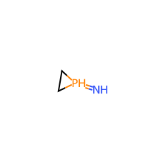 N=[PH]1CC1